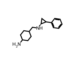 NC1CCC(CN[C@H]2CC2c2ccccc2)CC1